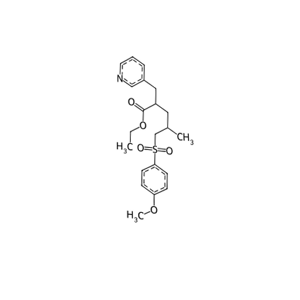 CCOC(=O)C(Cc1cccnc1)CC(C)CS(=O)(=O)c1ccc(OC)cc1